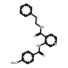 COc1ccc(C(=O)Nc2cnccc2C(=O)NCCc2ccccc2)cc1